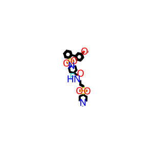 COc1cccc(-c2ccccc2S(=O)(=O)N2CCC(F)(C(=O)NC/C=C/S(=O)(=O)C3CCN(C)CC3)CC2)c1